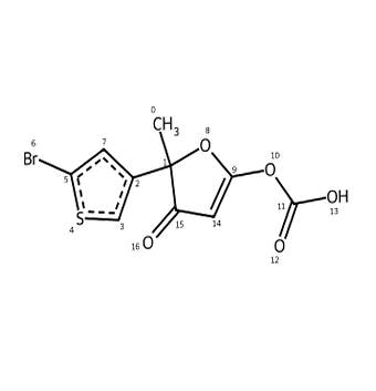 CC1(c2csc(Br)c2)OC(OC(=O)O)=CC1=O